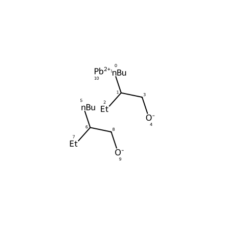 CCCCC(CC)C[O-].CCCCC(CC)C[O-].[Pb+2]